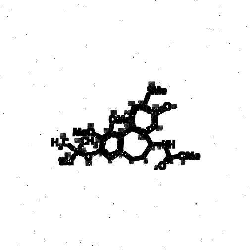 COC(=O)NC1CCc2cc(O[Si](C)(C)C(C)(C)C)c(OC)c(OC)c2-c2ccc(SC)c(=O)cc21